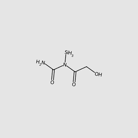 NC(=O)N([SiH3])C(=O)CO